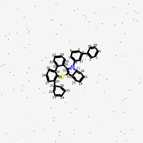 c1ccc(-c2cccc(-n3c4c(c5ccccc53)Sc3c(-c5ccccc5)cccc3-c3ccccc3-4)c2)cc1